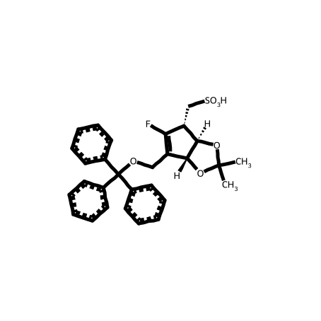 CC1(C)O[C@H]2[C@H](O1)C(COC(c1ccccc1)(c1ccccc1)c1ccccc1)=C(F)[C@@H]2CS(=O)(=O)O